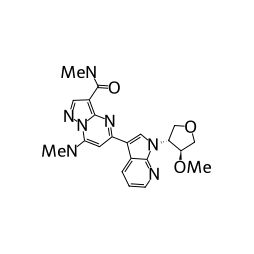 CNC(=O)c1cnn2c(NC)cc(-c3cn([C@@H]4COC[C@H]4OC)c4ncccc34)nc12